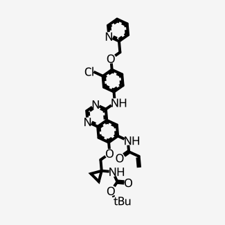 C=CC(=O)Nc1cc2c(Nc3ccc(OCc4ccccn4)c(Cl)c3)ncnc2cc1OCC1(NC(=O)OC(C)(C)C)CC1